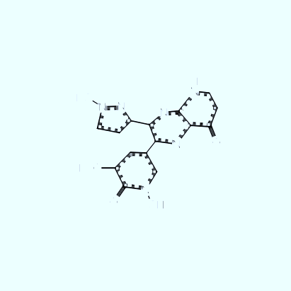 Cc1cc(-c2nc3c(=O)cc[nH]c3nc2-c2ccn(C)n2)cn(C)c1=O